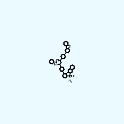 CC1(C)c2cc3ccccc3cc2-c2c(-c3ccc(C4=CC(c5ccc(-c6ccc7sc8ccccc8c7c6)cc5)NC(c5ccccc5)N4)cc3)cccc21